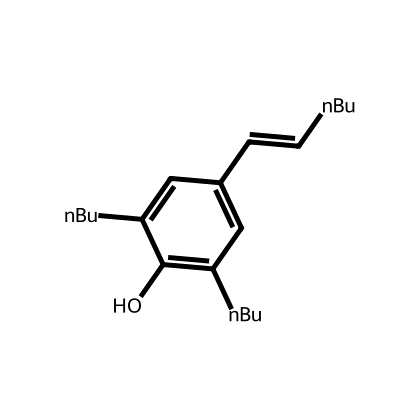 CCCC/C=C/c1cc(CCCC)c(O)c(CCCC)c1